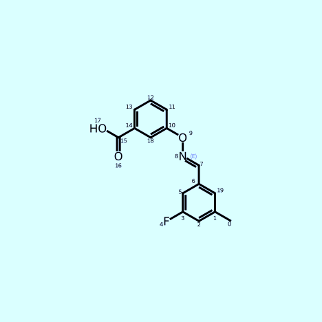 Cc1cc(F)cc(/C=N/Oc2cccc(C(=O)O)c2)c1